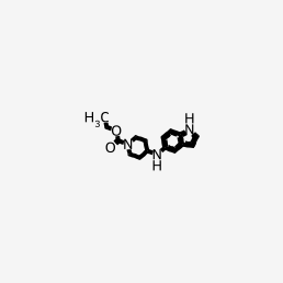 CCOC(=O)N1CCC(Nc2ccc3[nH]ccc3c2)CC1